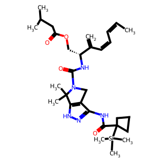 C=C(/C=C\C=C/C)[C@@H](COC(=O)CC(C)C)NC(=O)N1Cc2c(NC(=O)C3([Si](C)(C)C)CCC3)n[nH]c2C1(C)C